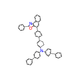 C1=C(c2ccc(-c3cc4ccccc4c4nc(-c5ccccc5)oc34)cc2)CCC(N(c2ccc(-c3ccccc3)cc2)c2ccc(-c3ccccc3)cc2)=C1